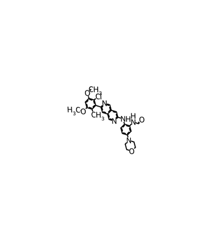 COc1cc(OC)c(Cl)c(-c2cc3cnc(Nc4ccc(N5CCOCC5)cc4NC=O)cc3cn2)c1C